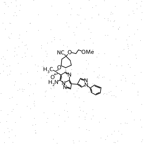 COCCO[C@]1(C#N)CC[C@H](c2nc3c(-c4cnn(-c5ccccc5)c4)cnn3c(N)c2S(C)(=O)=O)CC1